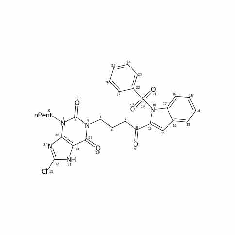 CCCCCn1c(=O)n(CCCC(=O)c2cc3ccccc3n2S(=O)(=O)c2ccccc2)c(=O)c2[nH]c(Cl)nc21